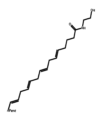 CCCCCC=CCC=CCC=CCC=CCCCC(=O)NCCO